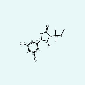 CCC(C)(C)N1C(=O)C[C@H](c2cc(Cl)cc(Cl)c2)[C@@H]1C